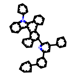 c1ccc(-c2cccc(-c3cc(-c4ccccc4)cc(-c4cc5c6ccccc6c6c(c7ccccc7n6-c6ccccc6)c5c5ccccc45)n3)c2)cc1